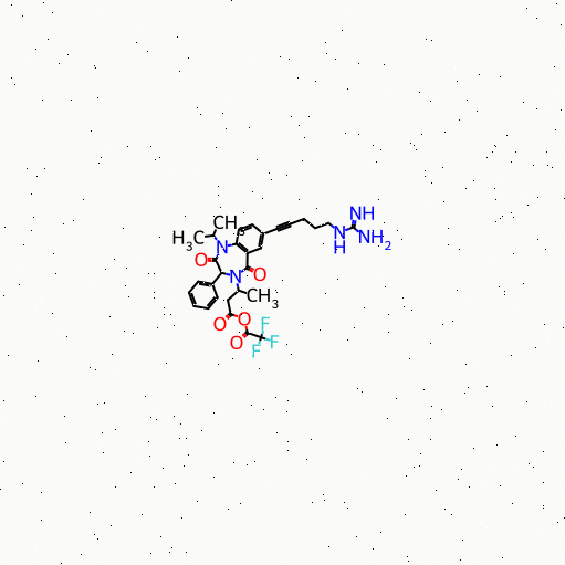 CC(C)N1C(=O)C(c2ccccc2)N(C(C)CC(=O)OC(=O)C(F)(F)F)C(=O)c2cc(C#CCCCNC(=N)N)ccc21